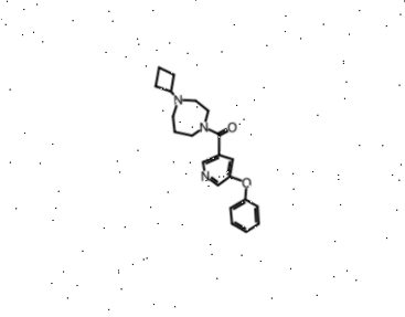 O=C(c1cncc(Oc2ccccc2)c1)N1CCCN(C2CCC2)CC1